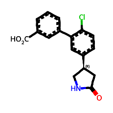 O=C1C[C@H](c2ccc(Cl)c(-c3cccc(C(=O)O)c3)c2)CN1